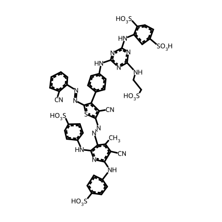 Cc1c(C#N)c(Nc2ccc(S(=O)(=O)O)cc2)nc(Nc2ccc(S(=O)(=O)O)cc2)c1N=Nc1sc(N=Nc2ccccc2C#N)c(-c2ccc(Nc3nc(NCCS(=O)(=O)O)nc(Nc4cc(S(=O)(=O)O)ccc4S(=O)(=O)O)n3)cc2)c1C#N